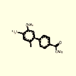 COC(=O)c1ccc(-c2cc(OC)c(N)cc2C)cc1